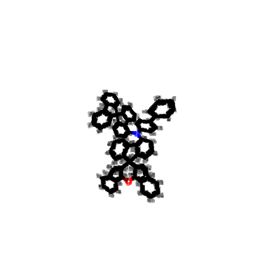 c1ccc(-c2ccc(N(c3cccc4c3-c3ccccc3C43c4ccccc4-c4ccccc43)c3cccc4c3-c3ccccc3C43c4ccc5ccccc5c4Oc4c3ccc3ccccc43)cc2)cc1